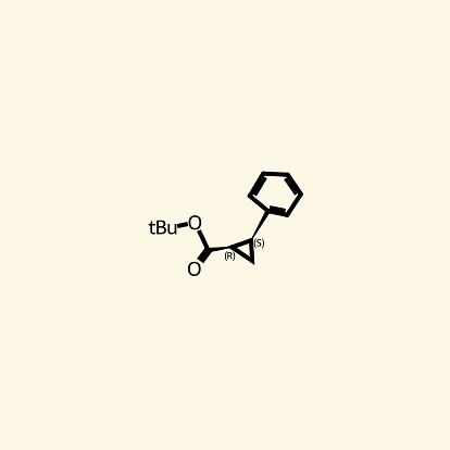 CC(C)(C)OC(=O)[C@@H]1C[C@@H]1c1ccccc1